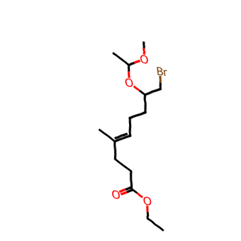 CCOC(=O)CCC(C)=CCCC(CBr)OC(C)OC